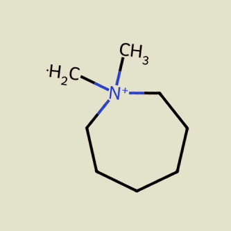 [CH2][N+]1(C)CCCCCC1